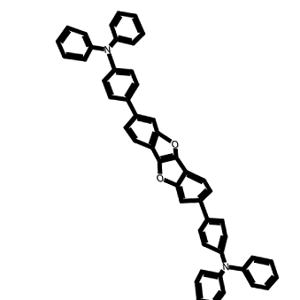 c1ccc(N(c2ccccc2)c2ccc(-c3ccc4c(c3)oc3c5ccc(-c6ccc(N(c7ccccc7)c7ccccc7)cc6)cc5oc43)cc2)cc1